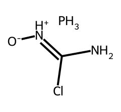 NC(Cl)=[NH+][O-].P